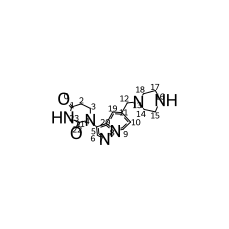 O=C1CCN(c2cnn3ccc(CN4CCNCC4)cc23)C(=O)N1